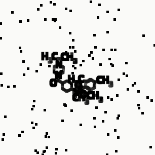 Cc1cc(C)c(S(=O)(=O)N(C)C2CCC(C(=O)N3CCN(C(C)C)CC3)CC2)c(C)c1